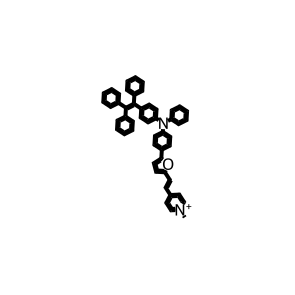 C[n+]1ccc(/C=C/c2ccc(-c3ccc(N(c4ccccc4)c4ccc(C(=C(c5ccccc5)c5ccccc5)c5ccccc5)cc4)cc3)o2)cc1